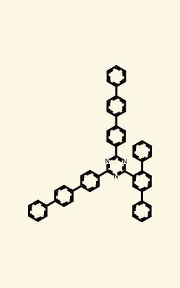 c1ccc(-c2ccc(-c3ccc(-c4nc(-c5ccc(-c6ccc(-c7ccccc7)cc6)cc5)nc(-c5cc(-c6ccccc6)ccc5-c5ccccc5)n4)cc3)cc2)cc1